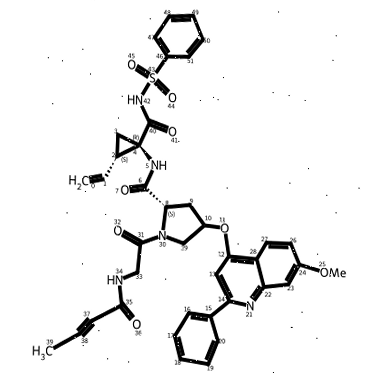 C=C[C@@H]1C[C@]1(NC(=O)[C@@H]1CC(Oc2cc(-c3ccccc3)nc3cc(OC)ccc23)CN1C(=O)CNC(=O)C#CC)C(=O)NS(=O)(=O)c1ccccc1